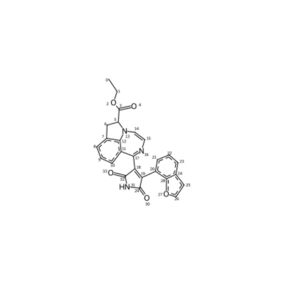 CCOC(=O)C1Cc2cccc3c2N1C=CN=C3C1=C(c2cccc3ccoc23)C(=O)NC1=O